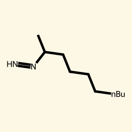 CCCCCCCCC(C)N=N